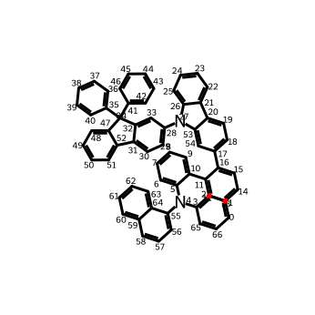 c1ccc(N(c2ccccc2-c2ccccc2-c2ccc3c4ccccc4n(-c4ccc5c(c4)C(c4ccccc4)(c4ccccc4)c4ccccc4-5)c3c2)c2cccc3ccccc23)cc1